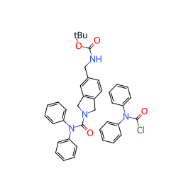 CC(C)(C)OC(=O)NCc1ccc2c(c1)CN(C(=O)N(c1ccccc1)c1ccccc1)C2.O=C(Cl)N(c1ccccc1)c1ccccc1